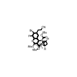 CSc1nc2c(F)c(Br)c(CCC#N)cc2c(N(C(=O)OC(C)(C)C)[C@H]2[C@H]3C[C@H]2N(C(=O)OC(C)(C)C)C3)c1N